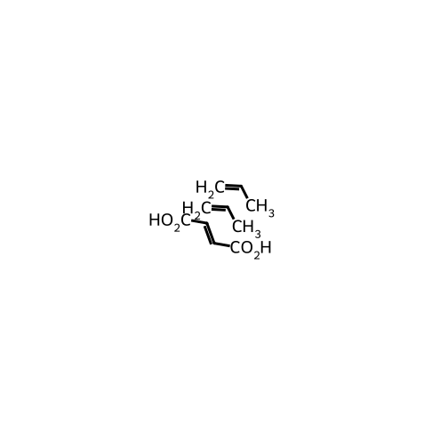 C=CC.C=CC.O=C(O)/C=C/C(=O)O